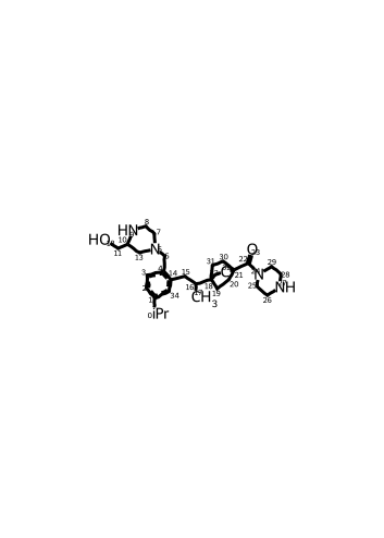 CC(C)c1ccc(CN2CCNC(CO)C2)c(CC(C)C23CCC(C(=O)N4CCNCC4)(CC2)CC3)c1